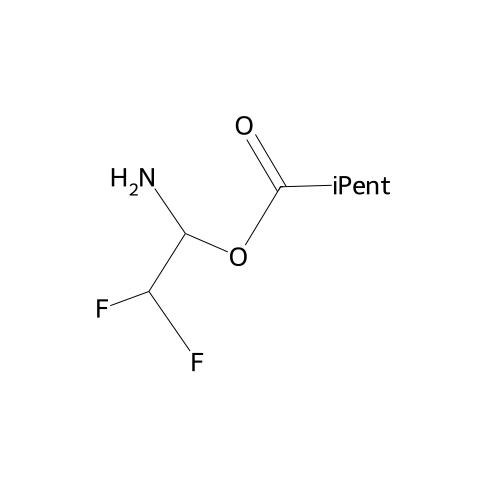 CCCC(C)C(=O)OC(N)C(F)F